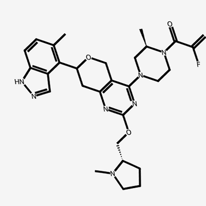 C=C(F)C(=O)N1CCN(c2nc(OC[C@@H]3CCCN3C)nc3c2COC(c2c(C)ccc4[nH]ncc24)C3)C[C@H]1C